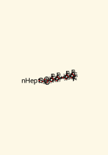 CCCCCCCOCC1COC(c2ccc(-c3ccc(C#Cc4ccc(-c5cc(F)c(F)c(F)c5)c(F)c4)c(F)c3)c(F)c2)OC1